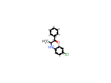 CC(Nc1ccc(Cl)cc1)C(=O)c1ccccc1